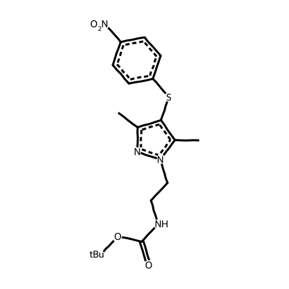 Cc1nn(CCNC(=O)OC(C)(C)C)c(C)c1Sc1ccc([N+](=O)[O-])cc1